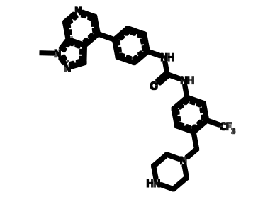 Cn1ncc2c(-c3ccc(NC(=O)Nc4ccc(CN5CCNCC5)c(C(F)(F)F)c4)cc3)cncc21